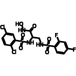 O=C(NO)C(CNS(=O)(=O)c1ccc(F)cc1F)NS(=O)(=O)c1cc(Cl)ccc1Cl